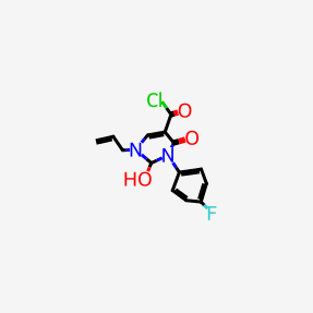 C=CCN1C=C(C(=O)Cl)C(=O)N(c2ccc(F)cc2)C1O